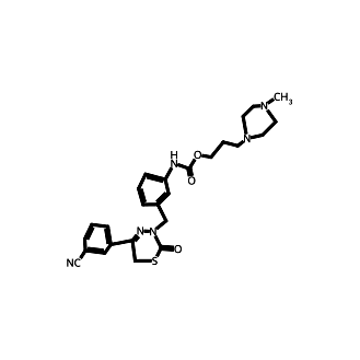 CN1CCN(CCCOC(=O)Nc2cccc(CN3N=C(c4cccc(C#N)c4)CSC3=O)c2)CC1